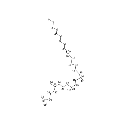 CCCCCCCCCCCCCCCCC(C)CCC(C)CCCC(C)CCCC(C)C